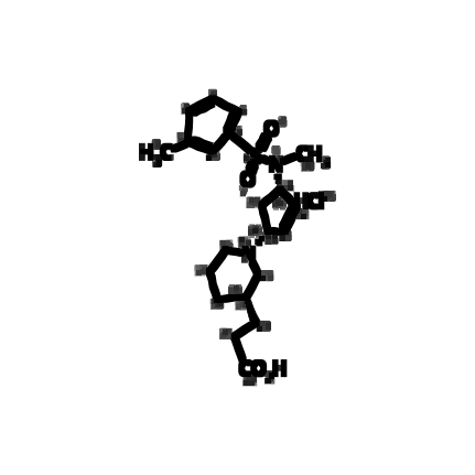 Cc1cccc(S(=O)(=O)N(C)[C@@H]2C=C[C@H](N3CCC[C@H](CCC(=O)O)C3)C2)c1.Cl